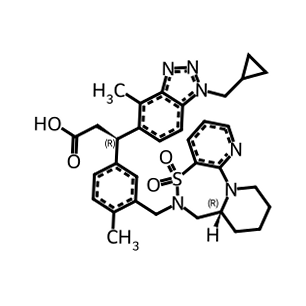 Cc1ccc([C@@H](CC(=O)O)c2ccc3c(nnn3CC3CC3)c2C)cc1CN1C[C@H]2CCCCN2c2ncccc2S1(=O)=O